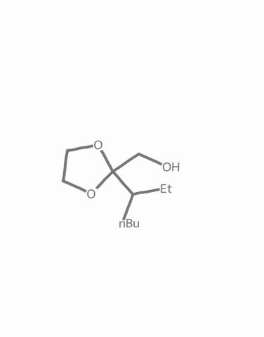 CCCCC(CC)C1(CO)OCCO1